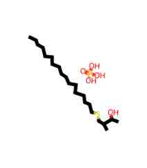 CCCCCCCCCCCCCCCCCSCC(C)C(C)O.O=P(O)(O)O